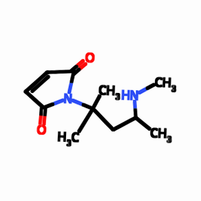 CNC(C)CC(C)(C)N1C(=O)C=CC1=O